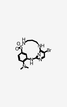 CN(C)c1ccc2cc1Nc1ncc(Br)c(n1)NCCCNS2(=O)=O